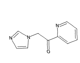 O=C(Cn1ccnc1)c1ccccn1